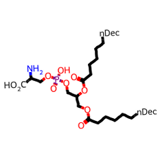 CCCCCCCCCCCCCCCC(=O)OCC(COP(=O)(O)OCC(N)C(=O)O)OC(=O)CCCCCCCCCCCCCCC